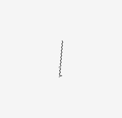 CCCCCCCCCCCCCCCCOCCCCN(C)C